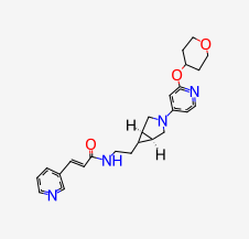 O=C(/C=C/c1cccnc1)NCCC1[C@H]2CN(c3ccnc(OC4CCOCC4)c3)C[C@@H]12